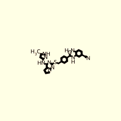 Cc1cc(Nc2nc(SCc3ccc(C(=O)Nc4cc(C#N)ccc4N)cc3)nn3cccc23)n[nH]1